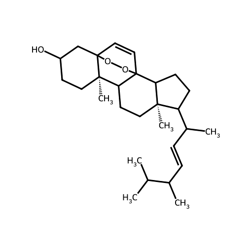 CC(C)C(C)/C=C/C(C)C1CCC2C34C=CC5(CC(O)CC[C@]5(C)C3CC[C@]12C)OO4